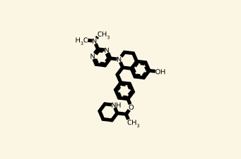 CC(Oc1ccc(CC2c3ccc(O)cc3CCN2c2ccnc(N(C)C)n2)cc1)C1CCCCN1